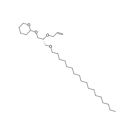 C=CCO[C@H](COCCCCCCCCCCCCCCCCCC)COC1CCCCO1